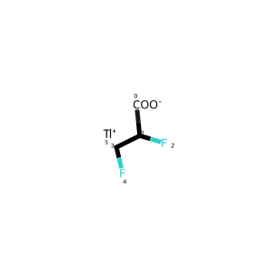 O=C([O-])C(F)CF.[Tl+]